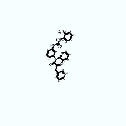 O=C(Nc1cccc(-n2c(=O)c(Cc3cccnc3)nc3cccnc32)c1)Nc1ccccc1[N+](=O)[O-]